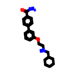 NC(=O)c1ccc(-c2cccc(OCCNCC3CCCCC3)c2)cc1